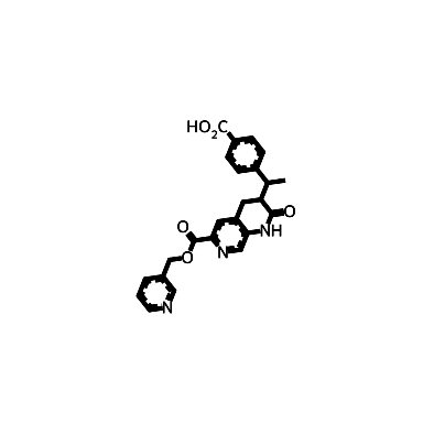 CC(c1ccc(C(=O)O)cc1)C1Cc2cc(C(=O)OCc3cccnc3)ncc2NC1=O